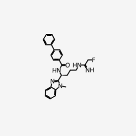 Cn1c([C@H](CCCNC(=N)CF)NC(=O)c2ccc(-c3ccccc3)cc2)nc2ccccc21